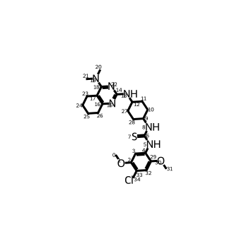 COc1cc(NC(=S)NC2CCC(Nc3nc4c(c(N(C)C)n3)CCCC4)CC2)c(OC)cc1Cl